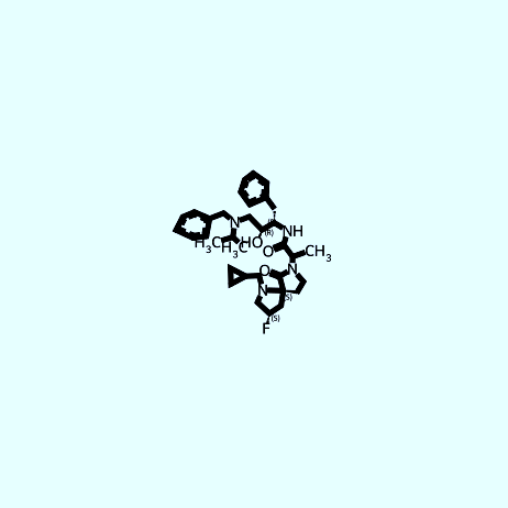 CC(C)N(Cc1ccccc1)C[C@@H](O)[C@H](Cc1ccccc1)NC(=O)C(C)N1CC[C@]2(C[C@H](F)CN2CC2CC2)C1=O